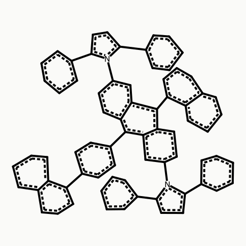 c1ccc(-c2ccc(-c3ccccc3)n2-c2ccc3c(-c4cccc5ccccc45)c4cc(-n5c(-c6ccccc6)ccc5-c5ccccc5)ccc4c(-c4ccc(-c5cccc6ccccc56)cc4)c3c2)cc1